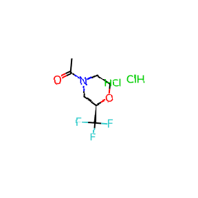 CC(=O)N1CCO[C@@H](C(F)(F)F)C1.Cl.Cl